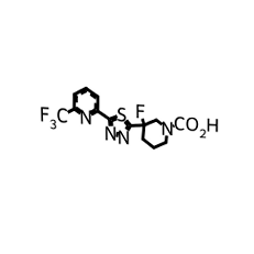 O=C(O)N1CCCC(F)(c2nnc(-c3cccc(C(F)(F)F)n3)s2)C1